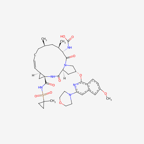 COc1ccc2c(O[C@@H]3C[C@H]4C(=O)N[C@]5(C(=O)NS(=O)(=O)C6(C)CC6)C[C@H]5/C=C\CC[C@@H](C)C[C@@H](C)[C@H](NC(=O)O)C(=O)N4C3)nc(N3CCOCC3)cc2c1